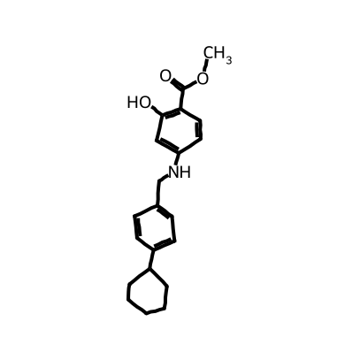 COC(=O)c1ccc(NCc2ccc(C3CCCCC3)cc2)cc1O